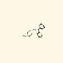 NCCN1CCN(CCSC(c2ccccc2)c2ccccn2)CC1